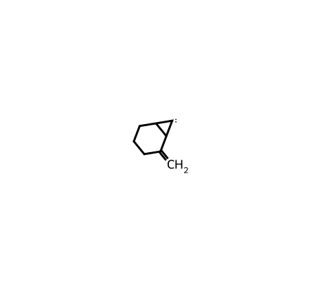 C=C1CCCC2[C]C12